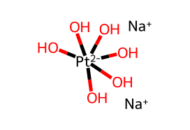 [Na+].[Na+].[OH][Pt-2]([OH])([OH])([OH])([OH])[OH]